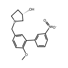 COc1ccc(CN2CC[C@H](O)C2)cc1-c1cccc([N+](=O)[O-])c1